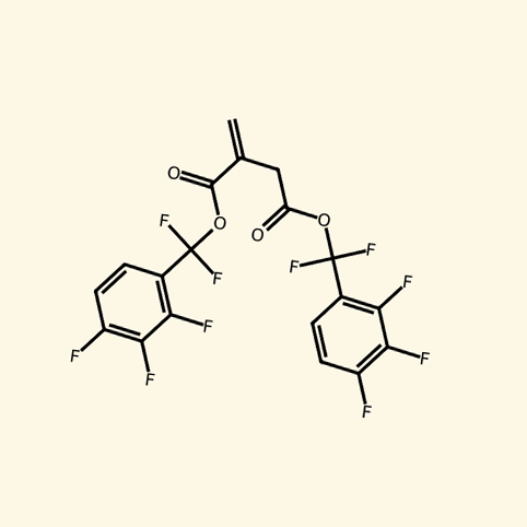 C=C(CC(=O)OC(F)(F)c1ccc(F)c(F)c1F)C(=O)OC(F)(F)c1ccc(F)c(F)c1F